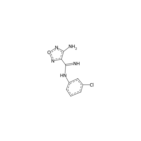 N=C(Nc1cccc(Cl)c1)c1nonc1N